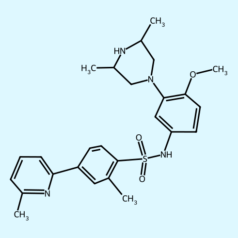 COc1ccc(NS(=O)(=O)c2ccc(-c3cccc(C)n3)cc2C)cc1N1CC(C)NC(C)C1